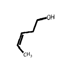 C/C=C\CCO